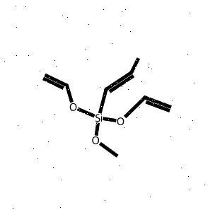 C=CO[Si](C=CC)(OC)OC=C